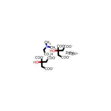 CN(C)CC(=O)O.O=C([O-])CC(O)(CC(=O)[O-])C(=O)[O-].O=C([O-])CC(O)(CC(=O)[O-])C(=O)[O-].[Zn+2].[Zn+2].[Zn+2]